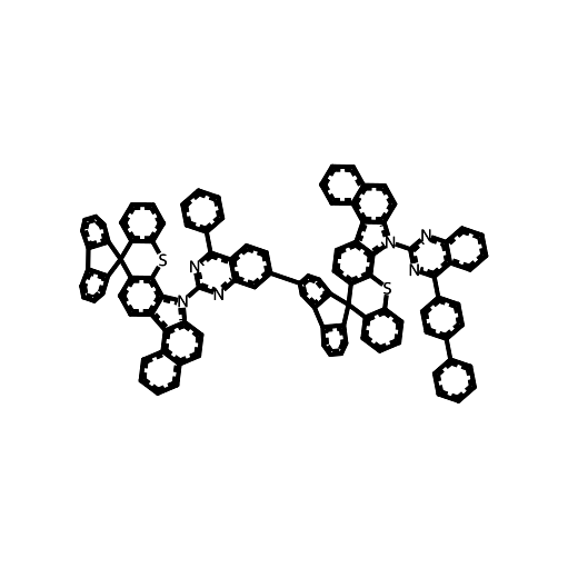 c1ccc(-c2ccc(-c3nc(-n4c5ccc6ccccc6c5c5ccc6c(c54)Sc4ccccc4C64c5ccccc5-c5cc(-c6ccc7c(-c8ccccc8)nc(-n8c9ccc%10ccccc%10c9c9ccc%10c(c98)Sc8ccccc8C%108c9ccccc9-c9ccccc98)nc7c6)ccc54)nc4ccccc34)cc2)cc1